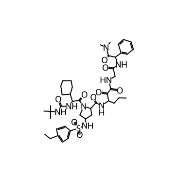 CCCC(NC(=O)C1CC(NS(=O)(=O)c2ccc(CC)cc2)CN1C(=O)[C@@H](NC(=O)NC(C)(C)C)C1CCCCC1)C(=O)C(=O)NCC(=O)NC(C(=O)N(C)C)c1ccccc1